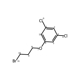 Clc1cc(Cl)cc(OCCCBr)c1